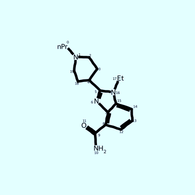 CCCN1CCC(c2nc3c(C(N)=O)cccc3n2CC)CC1